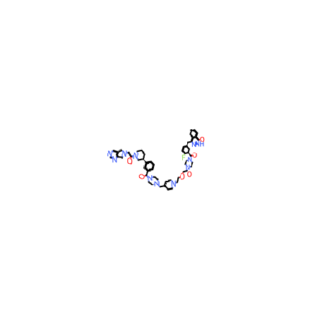 O=C(COCCN1CCC(CN2CCN(C(=O)c3cccc([C@@H]4CCCN(C(=O)CN5Cc6cncnc6C5)C4)c3)CC2)CC1)N1CCN(C(=O)c2cc(Cc3n[nH]c(=O)c4ccccc34)ccc2F)CC1